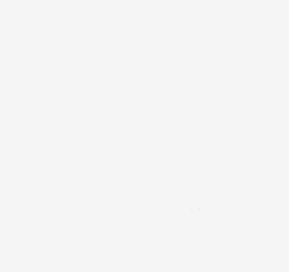 C1=C(c2c3ccccc3c(-c3cccc4ccccc34)c3ccccc23)CCc2oc3ccc4ccccc4c3c21